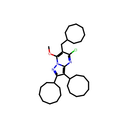 COc1c(CC2CCCCCCC2)c(Cl)nc2c(C3CCCCCCCC3)c(C3CCCCCCCC3)nn12